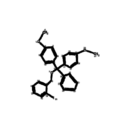 COc1ccc(C(OCc2ccccc2I)(c2ccccc2)c2ccc(OC)cc2)cc1